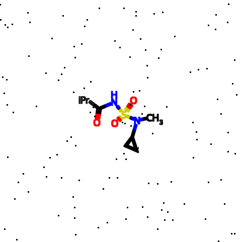 CC(C)C(=O)NS(=O)(=O)N(C)C1CC1